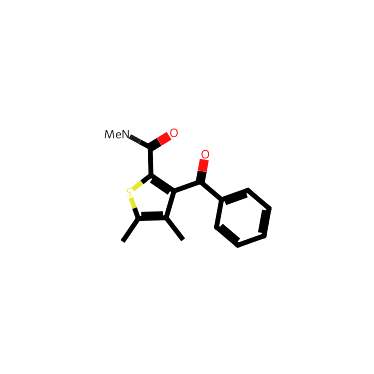 CNC(=O)c1sc(C)c(C)c1C(=O)c1ccccc1